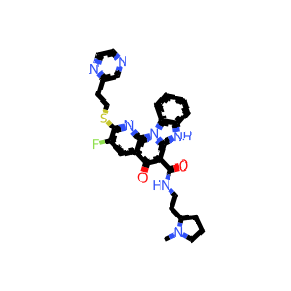 CN1CCCC1CCNC(=O)c1c(=O)c2cc(F)c(SCCc3cnccn3)nc2n2c1[nH]c1ccccc12